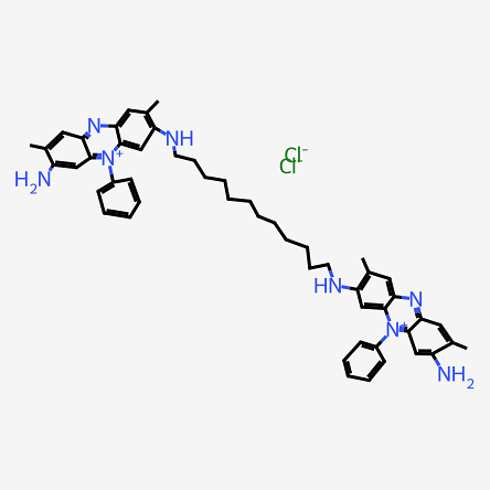 Cc1cc2nc3cc(C)c(NCCCCCCCCCCCCNc4cc5c(cc4C)nc4cc(C)c(N)cc4[n+]5-c4ccccc4)cc3[n+](-c3ccccc3)c2cc1N.[Cl-].[Cl-]